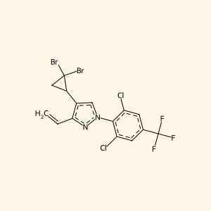 C=Cc1nn(-c2c(Cl)cc(C(F)(F)F)cc2Cl)cc1C1CC1(Br)Br